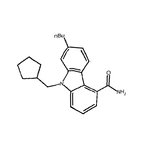 CCCCc1c[c]c2c3c(C(N)=O)cccc3n(CC3CCCC3)c2c1